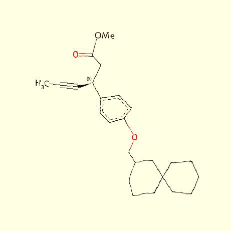 CC#C[C@@H](CC(=O)OC)c1ccc(OCC2CCCC3(CCCCC3)C2)cc1